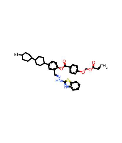 C=CC(=O)OCOc1ccc(C(=O)Oc2ccc(C3CCC(C4CCC(CC)CC4)CC3)cc2/C=N/Nc2nc3ccccc3s2)cc1